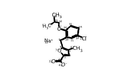 Cc1cc(C(=O)[O-])oc1Cc1cc(Cl)ccc1OCC(C)C.[Na+]